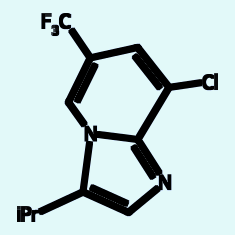 CC(C)c1cnc2c(Cl)cc(C(F)(F)F)cn12